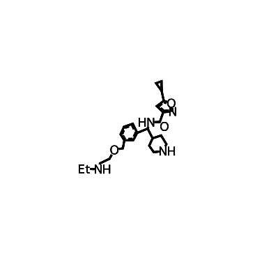 CCNCCOCc1cccc(C(NC(=O)c2cc(C3CC3)on2)C2CCNCC2)c1